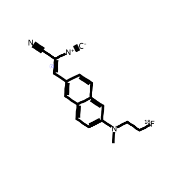 [C-]#[N+]/C(C#N)=C\c1ccc2cc(N(C)CC[18F])ccc2c1